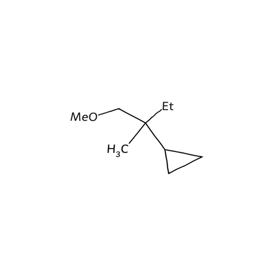 [CH2]CC(C)(COC)C1CC1